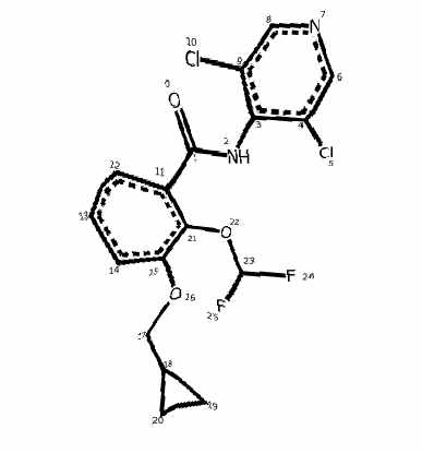 O=C(Nc1c(Cl)cncc1Cl)c1cccc(OCC2CC2)c1OC(F)F